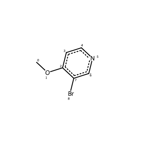 COc1ccn[c]c1Br